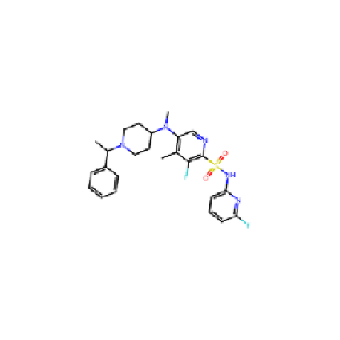 Cc1c(N(C)C2CCN(C(C)c3ccccc3)CC2)cnc(S(=O)(=O)Nc2cccc(F)n2)c1F